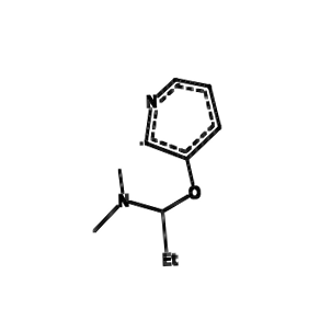 CCC(Oc1[c]nccc1)N(C)C